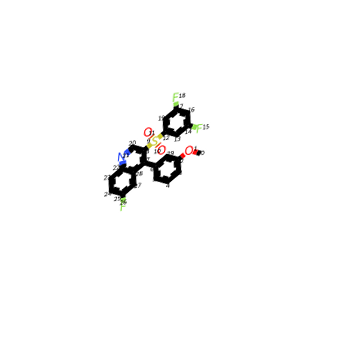 COc1cccc(-c2c(S(=O)(=O)c3cc(F)cc(F)c3)cnc3ccc(F)cc23)c1